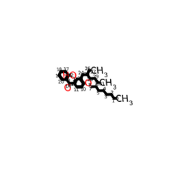 CCCCCCCCOc1ccc(C(=O)c2ccccc2)c(O)c1CC(CC)CCCC